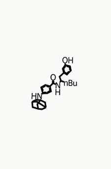 CCCCC(Cc1cccc(O)c1)NC(=O)c1ccc(NC23CC4CC(CC(C4)C2)C3)cc1